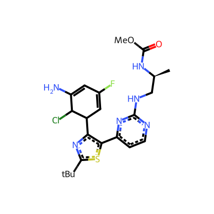 COC(=O)N[C@@H](C)CNc1nccc(-c2sc(C(C)(C)C)nc2C2C=C(F)C=C(N)C2Cl)n1